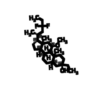 CCC(F)(F)C[C@@H](C)[C@H]1CC[C@H]2[C@@H]3CC[C@H]4C[C@](O)(CC)CC[C@]4(C)[C@H]3[C@@H](OC)C[C@]12C